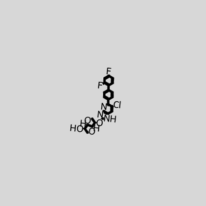 O[C@@H]1CO[C@H]2[C@@H]1OC[C@H]2Oc1nc2nc(-c3ccc(-c4ccc(F)cc4F)cc3)c(Cl)cc2[nH]1